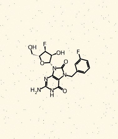 Nc1nc2c(c(=O)[nH]1)n(Cc1cccc(F)c1)c(=O)n2[C@@H]1O[C@H](CO)[C@@H](F)[C@H]1O